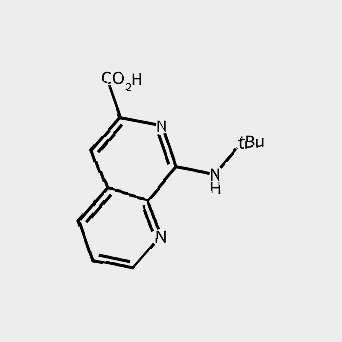 CC(C)(C)Nc1nc(C(=O)O)cc2cccnc12